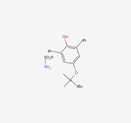 CC(C)c1cc(O[Si](C)(C)C(C)(C)C)cc(C(C)C)c1O.NS(=O)(=O)O